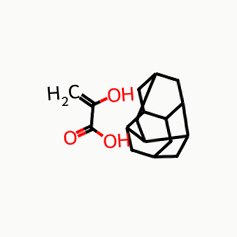 C1C2CC3C4CC5CC(C14)C(C2)C3C5.C=C(O)C(=O)O